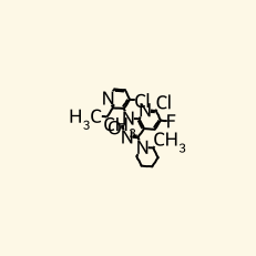 CC(C)c1nccc(Cl)c1-n1c(=O)nc(N2CCCC[C@@H]2C)c2cc(F)c(Cl)nc21